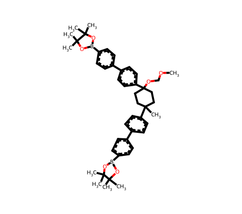 COCOC1(c2ccc(-c3ccc(B4OC(C)(C)C(C)(C)O4)cc3)cc2)CCC(C)(c2ccc(-c3ccc(B4OC(C)(C)C(C)(C)O4)cc3)cc2)CC1